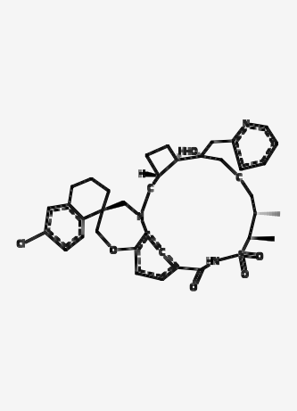 C[C@@H]1[C@@H](C)CCC[C@](O)(Cc2ccccn2)[C@@H]2CC[C@H]2CN2C[C@@]3(CCCc4cc(Cl)ccc43)COc3ccc(cc32)C(=O)NS1(=O)=O